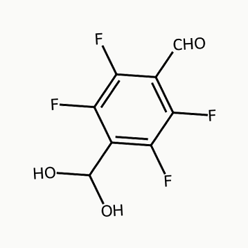 O=Cc1c(F)c(F)c(C(O)O)c(F)c1F